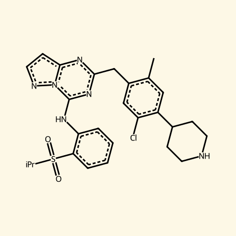 Cc1cc(C2CCNCC2)c(Cl)cc1Cc1nc(Nc2ccccc2S(=O)(=O)C(C)C)n2nccc2n1